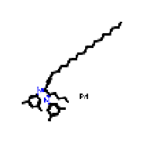 CCCCCCCCCCCCCCCCCC#CC(=Nc1cc(C)cc(C)c1)C(CCCC)=Nc1cc(C)cc(C)c1.[Pd]